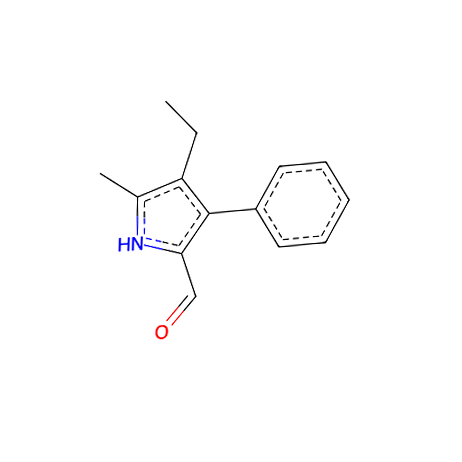 CCc1c(C)[nH]c(C=O)c1-c1ccccc1